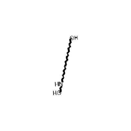 OCCCCCCCCCCCCCCCCCCCCNCCCO